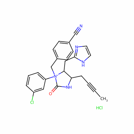 CC#CCC1NC(=O)[N+](Cc2ccc(C#N)cc2)(c2cccc(Cl)c2)C1Cc1ncc[nH]1.Cl